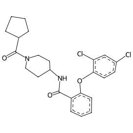 O=C(NC1CCN(C(=O)C2CCCC2)CC1)c1ccccc1Oc1ccc(Cl)cc1Cl